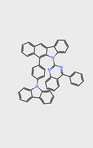 c1ccc(-c2nc(-n3c4ccccc4c4cc5ccccc5c(-c5ccc(-n6c7ccccc7c7ccccc76)cc5)c43)nc3ccccc23)cc1